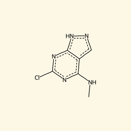 CNc1nc(Cl)nc2[nH]ncc12